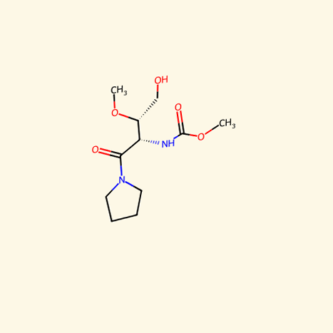 COC(=O)N[C@H](C(=O)N1CCCC1)[C@@H](CO)OC